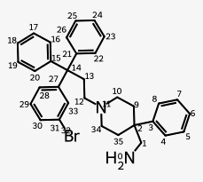 NCC1(c2ccccc2)CCN(CCC(c2ccccc2)(c2ccccc2)c2cccc(Br)c2)CC1